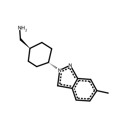 Cc1ccc2cn([C@H]3CC[C@H](CN)CC3)nc2c1